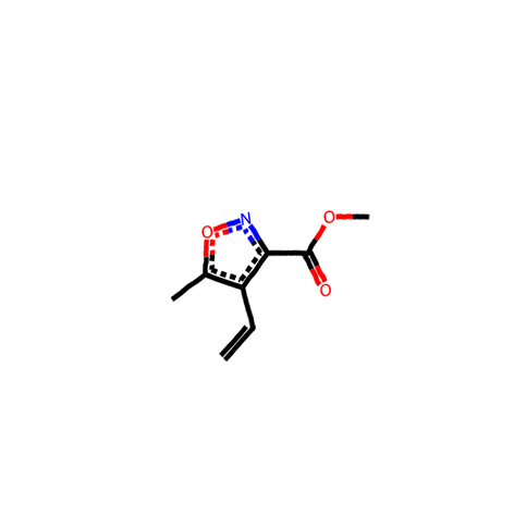 C=Cc1c(C(=O)OC)noc1C